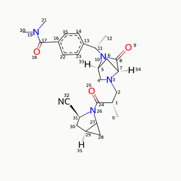 C[C@@H](CN1C[C@@H]2C[C@H]1C(=O)N2[C@@H](C)c1ccc(C(=O)N(C)C)cc1)C(=O)N1C2C[C@H]2C[C@H]1C#N